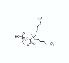 CC(CCCCCC1CO1)(CCCCCC1CO1)C(C(=O)O)=S(=O)=O.CCCC(=O)O